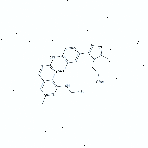 COCCn1c(C)nnc1-c1ccc(Nc2ncc3cc(C)nc(NCC(C)(C)C)c3n2)c(OC)c1